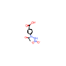 CC(=O)N(N[N+](=O)[O-])c1ccc(C(=O)O)cc1